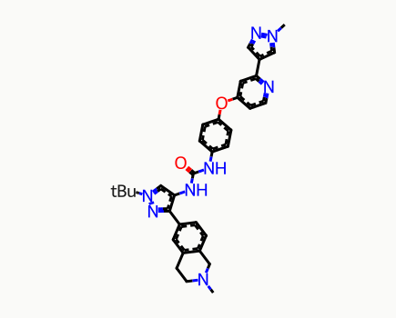 CN1CCc2cc(-c3nn(C(C)(C)C)cc3NC(=O)Nc3ccc(Oc4ccnc(-c5cnn(C)c5)c4)cc3)ccc2C1